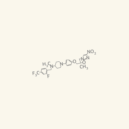 CN(Cc1ccc(C(F)(F)F)cc1F)C1CCN(c2ccc(OC[C@@]3(C)Cn4cc([N+](=O)[O-])nc4O3)cc2)CC1